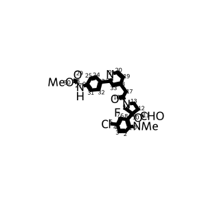 CNc1ccc(Cl)c(F)c1[C@]1(OC=O)CCN(C(=O)Cc2ccnc(-c3ccc(NC(=O)OC)cc3)c2)C1